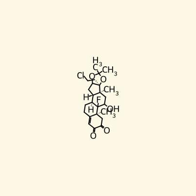 CC1(C)OC2C[C@H]3[C@@H]4CCC5=CC(=O)C(=O)C[C@]5(C)C4(F)C(O)C[C@]3(C)[C@]2(CCCl)O1